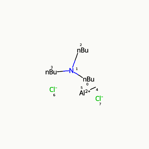 CCCCN(CCCC)CCCC.[CH3][Al+2].[Cl-].[Cl-]